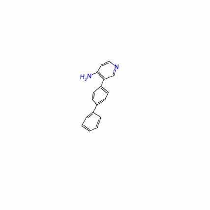 Nc1ccncc1-c1ccc(-c2ccccc2)cc1